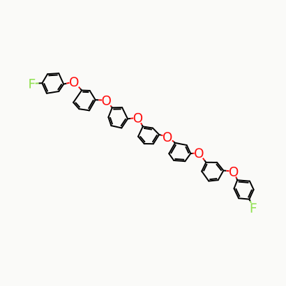 Fc1ccc(Oc2cccc(Oc3cccc(Oc4cccc(Oc5cccc(Oc6cccc(Oc7ccc(F)cc7)c6)c5)c4)c3)c2)cc1